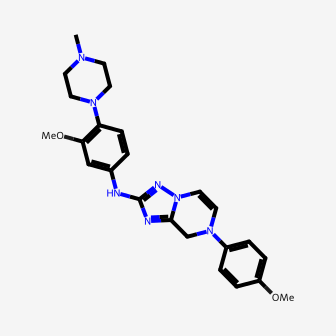 COc1ccc(N2C=Cn3nc(Nc4ccc(N5CCN(C)CC5)c(OC)c4)nc3C2)cc1